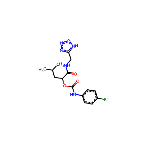 CC(C)CC(OC(=O)Nc1ccc(Br)cc1)C(=O)NCc1nnn[nH]1